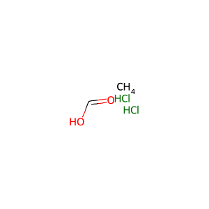 C.Cl.Cl.O=CO